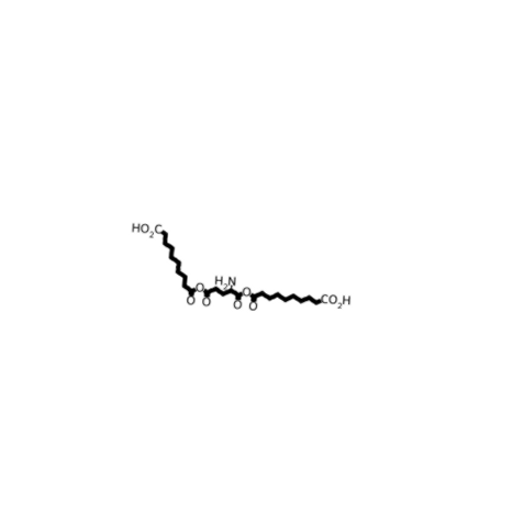 N[C@@H](CCC(=O)OC(=O)CCCCCCCCC(=O)O)C(=O)OC(=O)CCCCCCCCC(=O)O